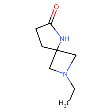 CCN1CC2(CCC(=O)N2)C1